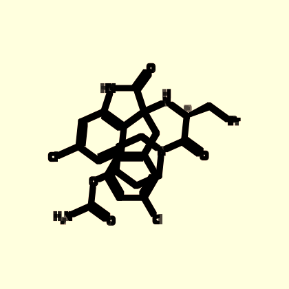 CC(C)C[C@H](NC1(Cc2cccc(Cl)c2)C(=O)Nc2cc(Cl)ccc21)C(=O)N1CCC(OC(N)=O)CC1